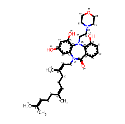 CC(C)=CCCC(C)=CCCC(C)=CCN1C(=O)c2cccc(O)c2N(CCN2CCOCC2)c2c(O)cc(O)cc21